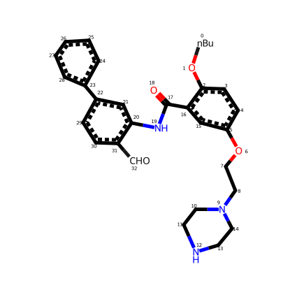 CCCCOc1ccc(OCCN2CCNCC2)cc1C(=O)Nc1cc(-c2ccccc2)ccc1C=O